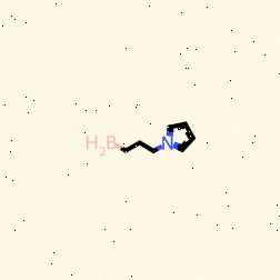 BCCCn1cccc1